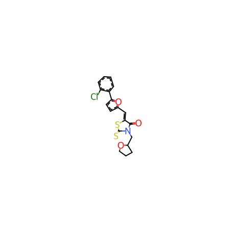 O=C1C(=Cc2ccc(-c3ccccc3Cl)o2)SC(=S)N1CC1CCCO1